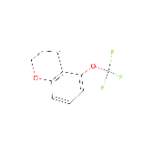 FC(F)(F)Oc1cccc2c1[C]CCO2